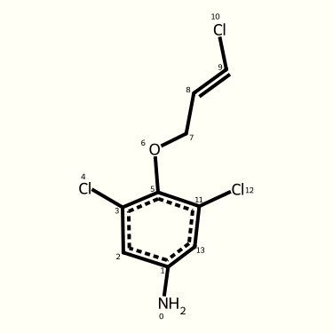 Nc1cc(Cl)c(OC/C=C/Cl)c(Cl)c1